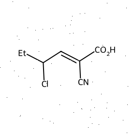 CCC(Cl)/C=C(\C#N)C(=O)O